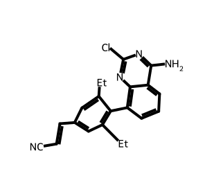 CCc1cc(/C=C/C#N)cc(CC)c1-c1cccc2c(N)nc(Cl)nc12